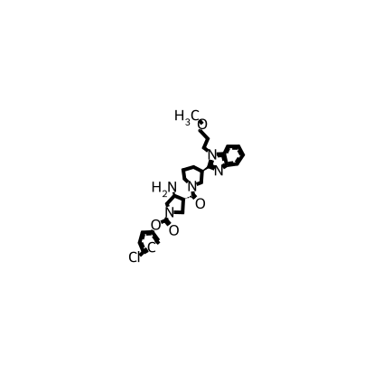 COCCCn1c([C@@H]2CCCN(C(=O)[C@@H]3CN(C(=O)Oc4ccc(Cl)cc4)C[C@H]3N)C2)nc2ccccc21